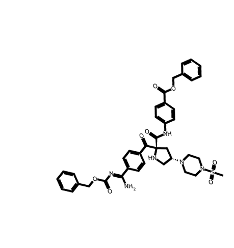 CS(=O)(=O)N1CCN([C@@H]2CN[C@](C(=O)Nc3ccc(C(=O)OCc4ccccc4)cc3)(C(=O)c3ccc(C(N)=NC(=O)OCc4ccccc4)cc3)C2)CC1